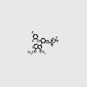 COc1nccc2c(-c3cc(CNS(=O)(=O)CC(F)(F)F)ccc3Oc3ccc(F)cc3F)cn(C)c12